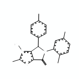 Cc1ccc(Cl)cc1N1C(=O)c2nc(Br)n(C(C)C)c2C1c1ccc(Cl)cc1